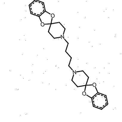 c1ccc2c(c1)OC1(CCN(CCCCN3CCC4(CC3)Oc3ccccc3O4)CC1)O2